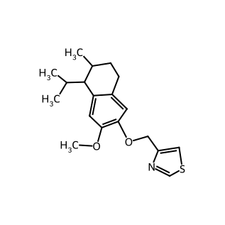 COc1cc2c(cc1OCc1cscn1)CCC(C)C2C(C)C